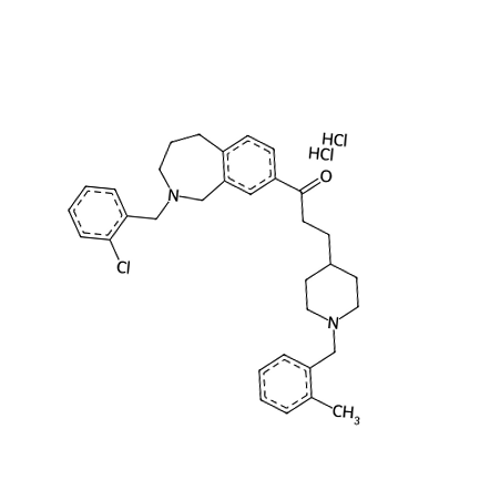 Cc1ccccc1CN1CCC(CCC(=O)c2ccc3c(c2)CN(Cc2ccccc2Cl)CCC3)CC1.Cl.Cl